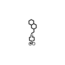 O=S1(=O)CCN(CCC2CCC3CCCCC3C2)CC1